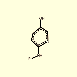 CC(C)Nc1ccc(O)cn1